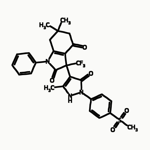 Cc1[nH]n(-c2ccc(S(C)(=O)=O)cc2)c(=O)c1C1(C(F)(F)F)C(=O)N(c2ccccc2)C2=C1C(=O)CC(C)(C)C2